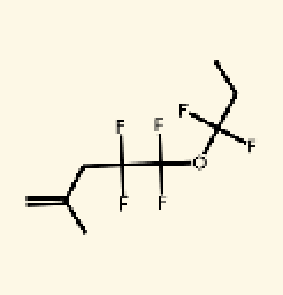 C=C(C)CC(F)(F)C(F)(F)OC(F)(F)CC